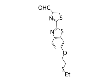 CCSCCOc1ccc2nc(C3=NC(C=O)CS3)sc2c1